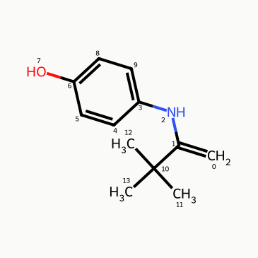 C=C(Nc1ccc(O)cc1)C(C)(C)C